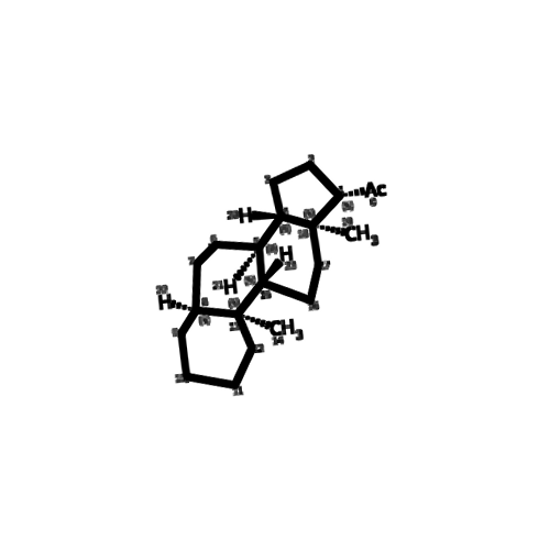 CC(=O)[C@H]1CC[C@H]2[C@@H]3[CH]C[C@@H]4C[CH]CC[C@]4(C)[C@H]3CC[C@]12C